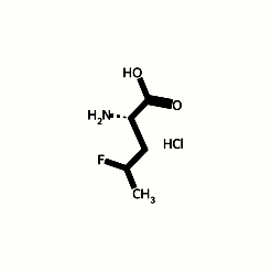 CC(F)C[C@H](N)C(=O)O.Cl